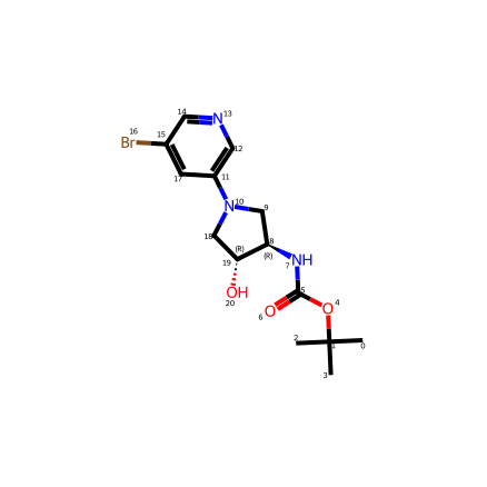 CC(C)(C)OC(=O)N[C@@H]1CN(c2cncc(Br)c2)C[C@H]1O